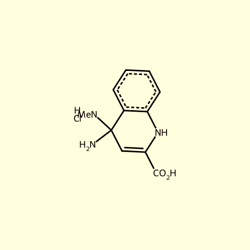 CNC1(N)C=C(C(=O)O)Nc2ccccc21.Cl